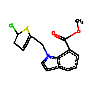 COC(=O)c1cccc2ccn(CC3=CCC(Cl)S3)c12